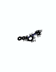 CCC(O)C(C)C(C)C(O)CC(C)(O)/C=C/C=C(\C)C1OC(=O)CC(O)CCC(C)(O)C(OC(=O)N2CCN(C3CCCCCC3)CC2)/C=C/C1C